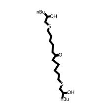 CCCCC(O)CSCCCCCC(=O)CCCCCSCC(O)CCCC